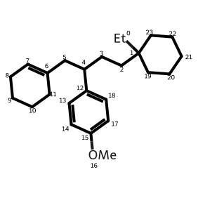 CCC1(CCC(CC2=CCCCC2)c2ccc(OC)cc2)CCCCC1